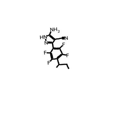 CCC(C)c1c(F)c(F)c(-c2n[nH]c(N)c2C#N)c(F)c1F